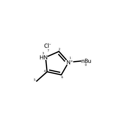 CCCC[n+]1c[nH]c(C)c1.[Cl-]